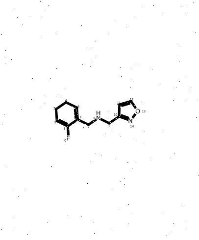 FC1=CCCC=C1CNCc1ccon1